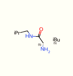 CC[C@H](C)[C@H](N)C(=O)NCC(C)C